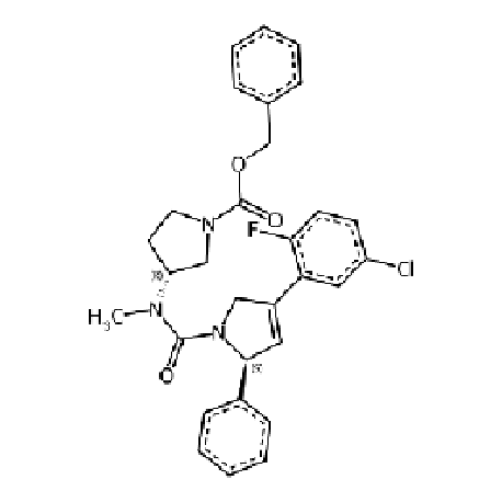 CN(C(=O)N1CC(c2cc(Cl)ccc2F)=C[C@H]1c1ccccc1)[C@@H]1CCN(C(=O)OCc2ccccc2)C1